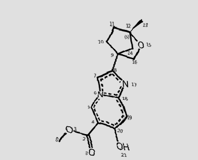 COC(=O)c1cn2cc(C34CC[C@@](C)(C3)OC4)nc2cc1O